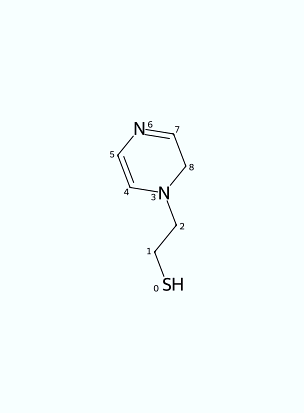 SCCN1C=CN=CC1